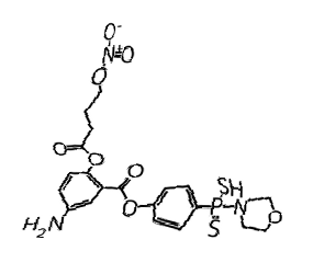 Nc1ccc(OC(=O)CCCO[N+](=O)[O-])c(C(=O)Oc2ccc(P(=S)(S)N3CCOCC3)cc2)c1